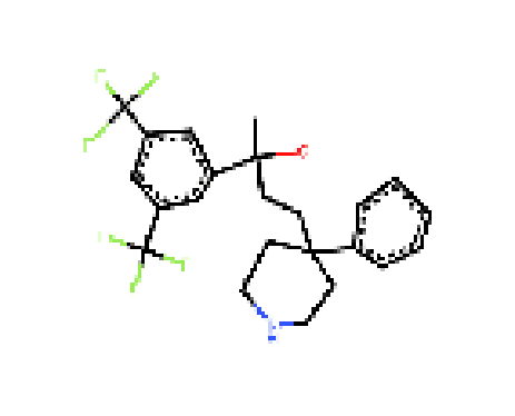 CC(O)(CCC1(c2ccccc2)CCNCC1)c1cc(C(F)(F)F)cc(C(F)(F)F)c1